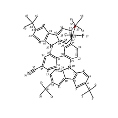 CC(C)(C)c1ccc2c(c1)c1cc(C(C)(C)C)ccc1n2-c1ccc(C(F)(F)F)cc1-c1ccc(C#N)cc1-n1c2ccc(C(C)(C)C)cc2c2cc(C(C)(C)C)ccc21